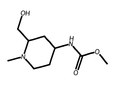 COC(=O)NC1CCN(C)C(CO)C1